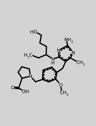 CCC(CCCO)Nc1nc(N)nc(C)c1Cc1ccc(CN2CCCC2C(=O)O)cc1OC